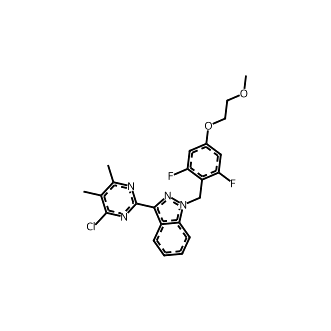 COCCOc1cc(F)c(Cn2nc(-c3nc(C)c(C)c(Cl)n3)c3ccccc32)c(F)c1